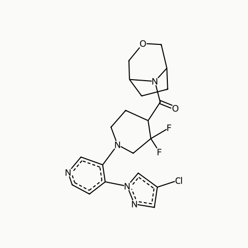 O=C(C1CCN(c2cnccc2-n2cc(Cl)cn2)CC1(F)F)N1C2CCC1COC2